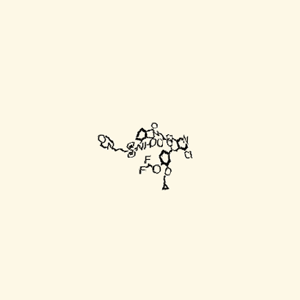 O=C(CN1C(=O)c2cccc(NS(=O)(=O)CCCN3CCOCC3)c2C1=O)O[C@@H](Cc1c(Cl)cncc1Cl)c1ccc(OC(F)F)c(OCC2CC2)c1